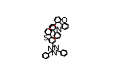 c1ccc(-c2nc(-c3ccccc3)nc(-c3ccc4c(c3)sc3ccc(CCc5cccc6oc7cccc(-n8c9ccccc9c9ccccc98)c7c56)cc34)n2)cc1